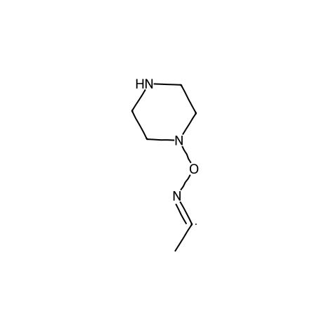 C[C]=NON1CCNCC1